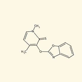 Cc1ccn(C)c(=S)c1Oc1nc2ccccc2o1